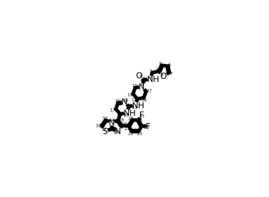 O=C(NCc1ccco1)N1CCC(NC2N=CCC(c3c(-c4ccc(F)c(F)c4)nc4sccn34)N2)CC1